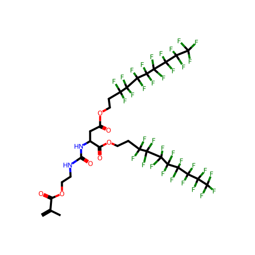 C=C(C)C(=O)OCCNC(=O)NC(CC(=O)OCCC(F)(F)C(F)(F)C(F)(F)C(F)(F)C(F)(F)C(F)(F)C(F)(F)C(F)(F)F)C(=O)OCCC(F)(F)C(F)(F)C(F)(F)C(F)(F)C(F)(F)C(F)(F)C(F)(F)C(F)(F)F